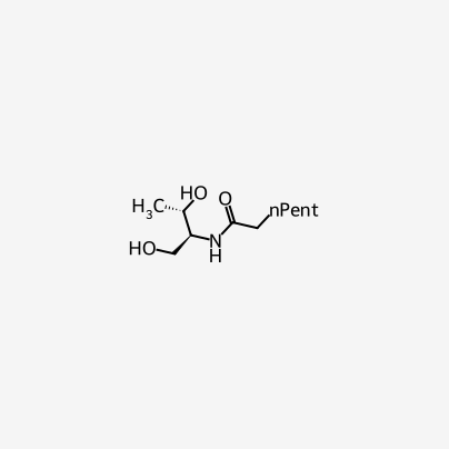 CCCCCCC(=O)N[C@@H](CO)[C@H](C)O